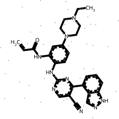 C=CC(=O)Nc1cc(N2CCN(CC)CC2)ccc1Nc1ncc(C#N)c(-c2cccc3[nH]ncc23)n1